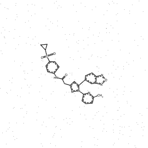 Cc1cccc(-n2nc(CC(=O)Nc3ccc(S(=O)(=O)C4CC4)cc3)cc2-c2ccc3nonc3c2)n1